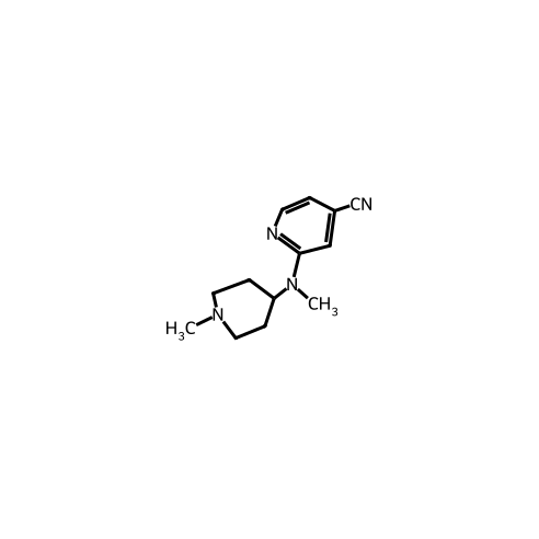 CN1CCC(N(C)c2cc(C#N)ccn2)CC1